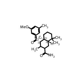 COc1cc(C)cc(C(=O)[C@H]2C(C)C(C(N)=O)C[C@H]3C(C)(C)CCC[C@]23C)c1